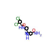 NC(=O)c1ccc2[nH]nc(-c3cccc(NC(=O)Cc4ccc(Cl)cc4Cl)c3)c2c1